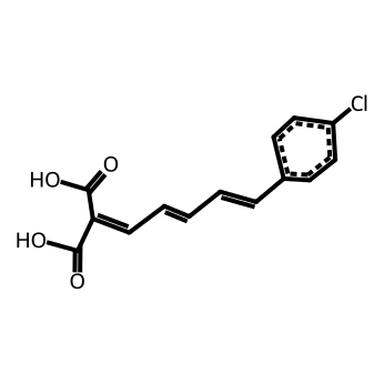 O=C(O)C(=CC=CC=Cc1ccc(Cl)cc1)C(=O)O